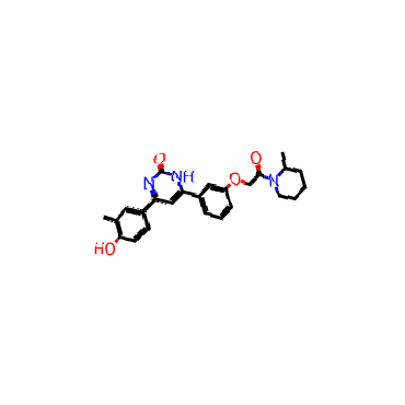 Cc1cc(-c2cc(-c3cccc(OCC(=O)N4CCCCC4C)c3)[nH]c(=O)n2)ccc1O